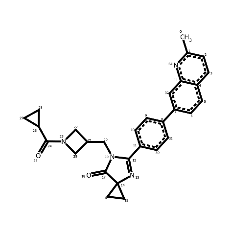 Cc1ccc2ccc(-c3ccc(C4=NC5(CC5)C(=O)N4CC4CN(C(=O)C5CC5)C4)cc3)cc2n1